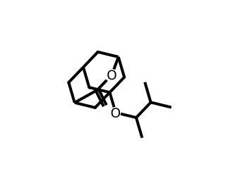 C=C1OC2CC3CC1CC(OC(C)C(C)C)(C3)C2